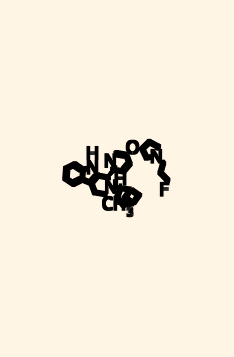 C[C@@H]1Cc2c([nH]c3ccccc23)[C@@H](c2ccc(O[C@@H]3CCN(CCCF)C3)cn2)N1[C@@H]1CCC2CC1C2